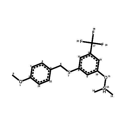 COc1ccc(CSc2cc(O[SiH](C)C)cc(C(F)(F)F)c2)cc1